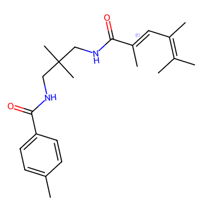 CC(C)=C(C)/C=C(\C)C(=O)NCC(C)(C)CNC(=O)c1ccc(C)cc1